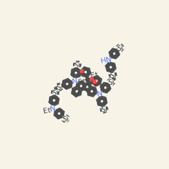 C=C(CC)C(CC)(c1ccccc1)C1(c2ccccc2)c2cc(N(c3ccc([Si](C)(C)C)cc3)c3ccc([Si](C)(C)C[Si](C)(C)c4ccc(Nc5ccc([Si](C)(C)C)cc5)cc4)cc3)ccc2-c2c1cc(N(c1ccc([Si](C)(C)C)cc1)c1ccc([Si](C)(C)C[Si](C)(C)c3ccc(N(CC)c4ccc([Si](C)(C)C)cc4)cc3)cc1)c1ccccc21